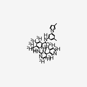 [2H]c1nc(Nc2c([2H])c(C(=O)Nc3cc(C)cc(-n4ccc(C)c4)c3)c([2H])c([2H])c2C([2H])([2H])[2H])nc(-c2c([2H])nc([2H])c([2H])c2[2H])c1[2H]